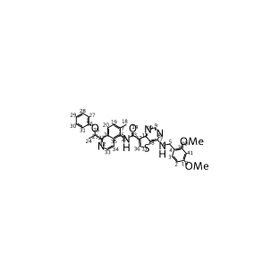 COc1ccc(CNc2ncnc3c(C(=O)Nc4c(C)ccc5c(C(C)Oc6ccccc6)nccc45)csc23)c(OC)c1